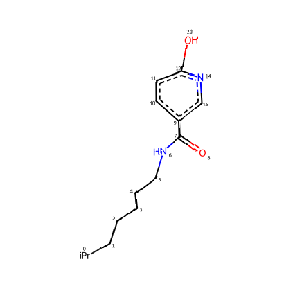 CC(C)CCCCCNC(=O)c1ccc(O)nc1